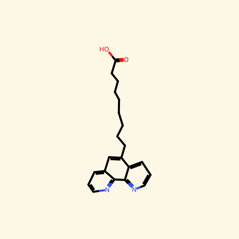 O=C(O)CCCCCCCCc1cc2cccnc2c2ncccc12